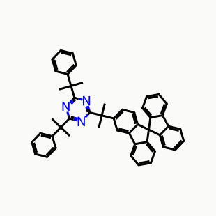 CC(C)(c1ccccc1)c1nc(C(C)(C)c2ccccc2)nc(C(C)(C)c2ccc3c(c2)-c2ccccc2C32c3ccccc3-c3ccccc32)n1